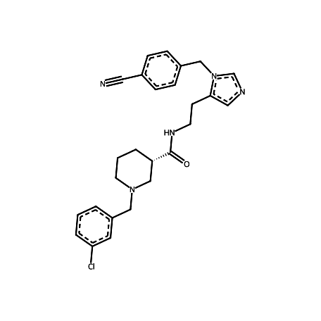 N#Cc1ccc(Cn2cncc2CCNC(=O)[C@H]2CCCN(Cc3cccc(Cl)c3)C2)cc1